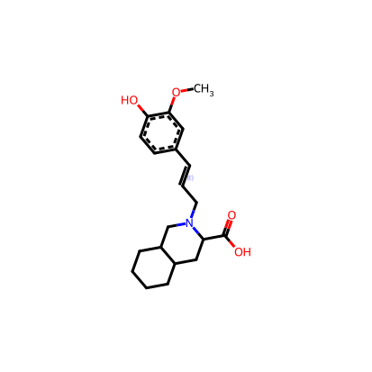 COc1cc(/C=C/CN2CC3CCCCC3CC2C(=O)O)ccc1O